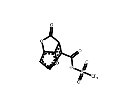 O=C(NS(=O)(=O)C(F)(F)F)c1c2c3oc1cc3OC2=O